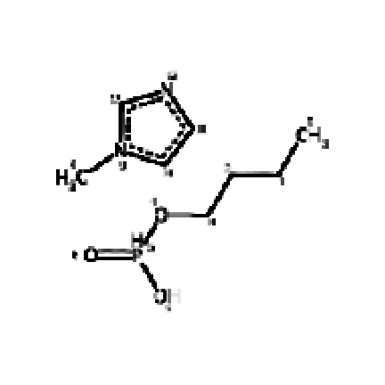 CCCCO[PH](=O)O.Cn1ccnc1